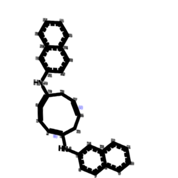 C1=C/C=C(/Nc2ccc3ccccc3c2)C/C=C\CC=1Nc1ccc2ccccc2c1